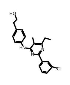 CCc1nc(-c2cccc(Cl)c2)nc(Nc2ccc(CCO)cc2)c1C